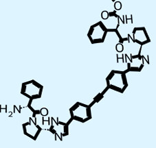 COC(=O)N[C@@H](C(=O)N1CCC[C@H]1c1ncc(-c2ccc(C#Cc3ccc(-c4cnc([C@@H]5CCCN5C(=O)[C@H](N)c5ccccc5)[nH]4)cc3)cc2)[nH]1)c1ccccc1